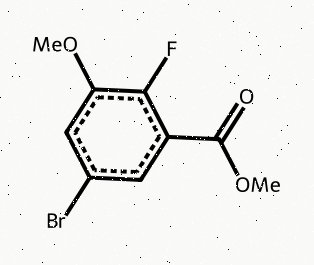 COC(=O)c1cc(Br)cc(OC)c1F